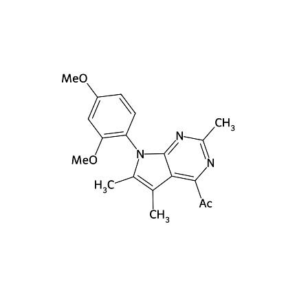 COc1ccc(-n2c(C)c(C)c3c(C(C)=O)nc(C)nc32)c(OC)c1